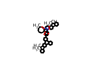 C=C1/C=C\C=C/CC2(c3ccccc3-c3ccccc32)c2c1cccc2N(c1ccc(-c2ccc3c(c2)c2ccccc2c2cc4c(cc32)C(C)(C)c2ccccc2-4)cc1)c1ccc2c(c1)C(C)(C)c1ccccc1-2